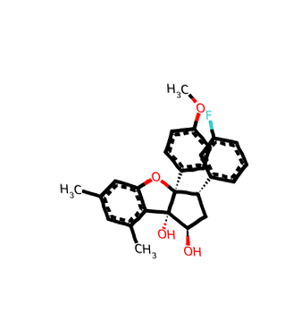 COc1ccc([C@@]23Oc4cc(C)cc(C)c4[C@]2(O)[C@H](O)C[C@H]3c2cccc(F)c2)cc1